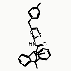 Cc1ccc(Cc2csc(NC(=O)C3(C)CC4(C)c5ccccc5C3c3ccccc34)n2)cc1